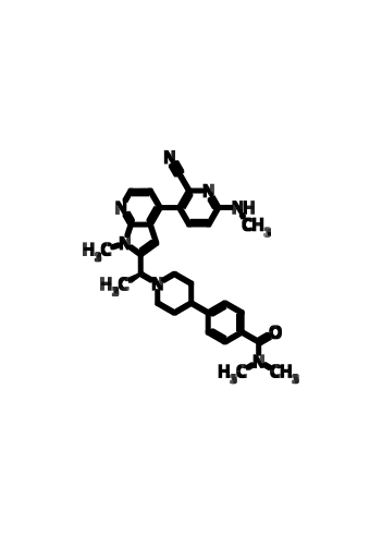 CNc1ccc(-c2ccnc3c2cc([C@H](C)N2CCC(c4ccc(C(=O)N(C)C)cc4)CC2)n3C)c(C#N)n1